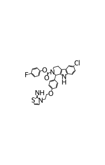 N=c1sccn1CCOc1ccc(C2c3[nH]c4ccc(Cl)cc4c3CCN2C(=O)Oc2ccc(F)cc2)cc1